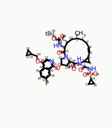 C[C@@H]1CC/C=C\C2C[C@@]2(C(=O)NS(=O)(=O)C2CC2)NC(=O)[C@@H]2C[C@@H](Oc3ncc(OCC4CC4)c4ccc(F)cc34)CN2C(=O)[C@@H](NC(=O)OC(C)(C)C)[C@H](C)C1